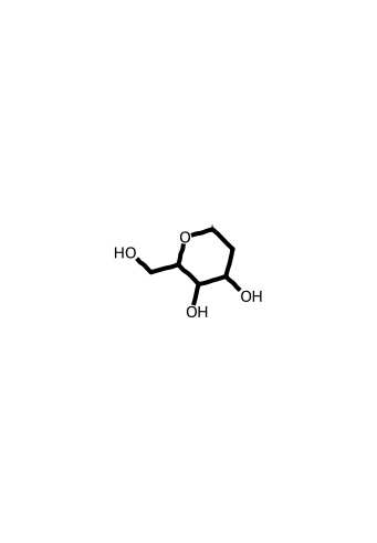 OCC1O[CH]CC(O)C1O